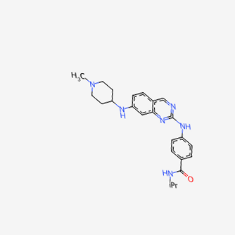 CC(C)NC(=O)c1ccc(Nc2ncc3ccc(NC4CCN(C)CC4)cc3n2)cc1